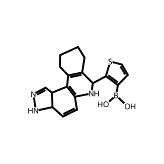 OB(O)c1ccsc1C1NC2=C(C3=C1CCCC3)C1C=NNC1C=C2